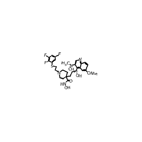 COc1ccc2ncc(N(C)C)c([C@H](O)CCC3(C(=O)NO)CCN(CCSc4cc(F)cc(F)c4F)CC3)c2c1